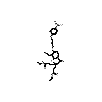 CCCc1c(OCCCOc2ccc([N+](=O)[O-])cc2)ccc2c1OC(CCC(=O)OCC)(CCC(=O)OCC)CC2=O